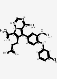 C=C(C)c1c(CCC(=O)O)c(-c2ccc(Oc3cccc(Cl)c3)c(OC)c2)c2c(N)ncnn12